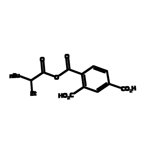 CCCCC(CC)C(=O)OC(=O)c1ccc(C(=O)O)cc1C(=O)O